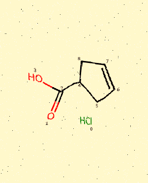 Cl.O=C(O)C1CC=CC1